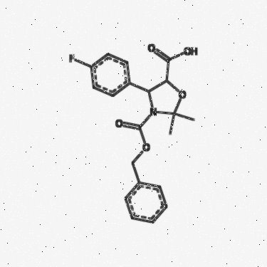 CC1(C)OC(C(=O)O)C(c2ccc(F)cc2)N1C(=O)OCc1ccccc1